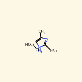 CCCCc1nc(C)c[nH]1.CS(=O)(=O)O